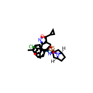 Cc1ccc(-c2csc(N3[C@@H]4CC[C@H]3C[C@@H](OCc3c(-c5c(Cl)cccc5Cl)noc3C3CC3)C4)n2)c(C)c1